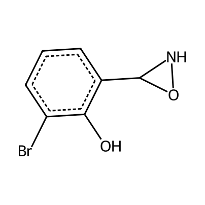 Oc1c(Br)cccc1C1NO1